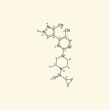 CC1CN(c2ncc(C#N)c(-c3cn(C)nc3C#N)n2)CCN1C(=O)C1CC1